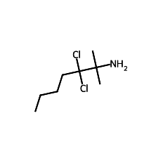 CCCCC(Cl)(Cl)C(C)(C)N